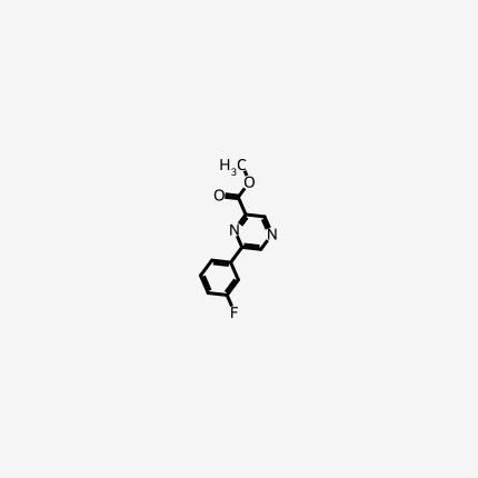 COC(=O)c1cncc(-c2cccc(F)c2)n1